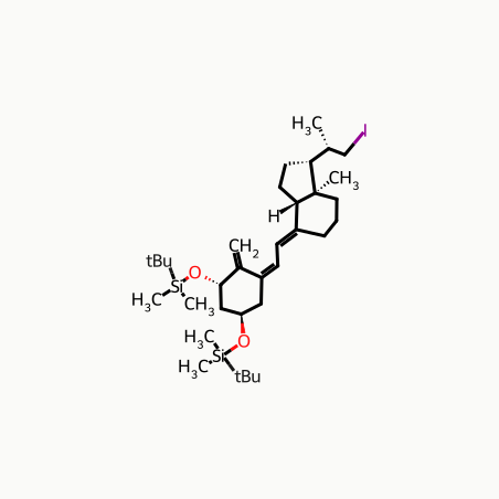 C=C1/C(=C\C=C2/CCC[C@]3(C)[C@@H]([C@H](C)CI)CC[C@@H]23)C[C@@H](O[Si](C)(C)C(C)(C)C)C[C@@H]1O[Si](C)(C)C(C)(C)C